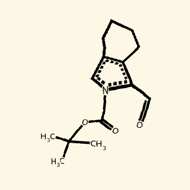 CC(C)(C)OC(=O)n1cc2c(c1C=O)CCCC2